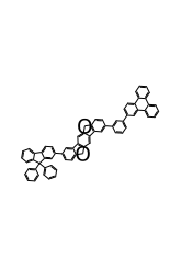 c1ccc(C2(c3ccccc3)c3ccccc3-c3ccc(-c4ccc5oc6cc7c(cc6c5c4)oc4ccc(-c5cccc(-c6ccc8c9ccccc9c9ccccc9c8c6)c5)cc47)cc32)cc1